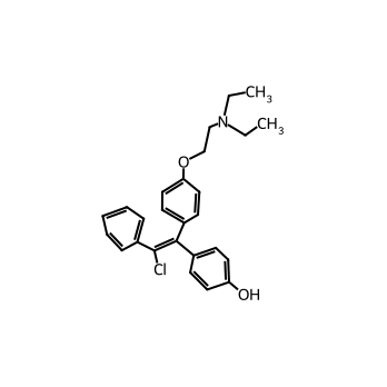 CCN(CC)CCOc1ccc(/C(=C(/Cl)c2ccccc2)c2ccc(O)cc2)cc1